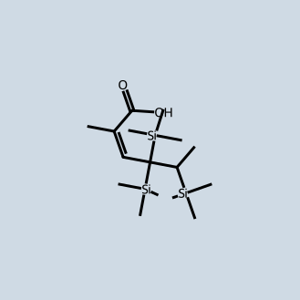 CC(=CC(C(C)[Si](C)(C)C)([Si](C)(C)C)[Si](C)(C)C)C(=O)O